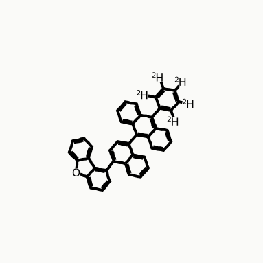 [2H]c1c([2H])c([2H])c(-c2c3ccccc3c(-c3ccc(-c4cccc5oc6ccccc6c45)c4ccccc34)c3ccccc23)c([2H])c1[2H]